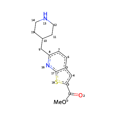 COC(=O)c1cc2ccc(CC3CCNCC3)nc2s1